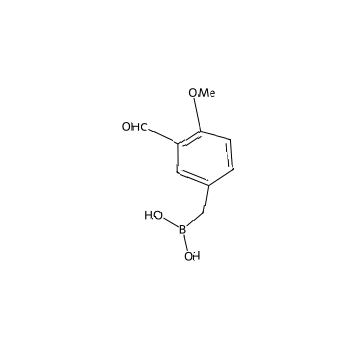 COc1ccc(CB(O)O)cc1C=O